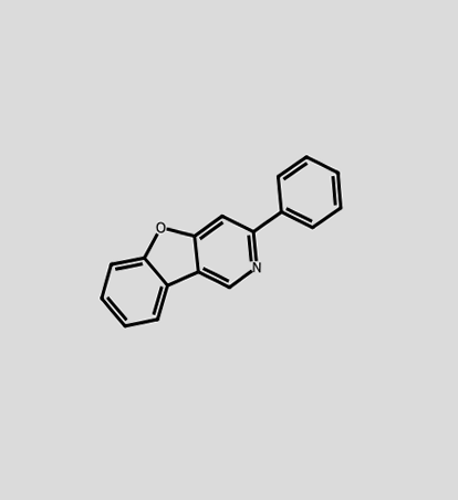 c1ccc(-c2cc3oc4ccccc4c3cn2)cc1